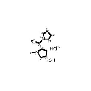 CN1C[C@@H](S)C[C@H]1C(=O)N1CCCC1.Cl